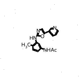 CC(=O)Nc1ccc(C)c(Nc2ncc(-c3cccnc3)o2)c1